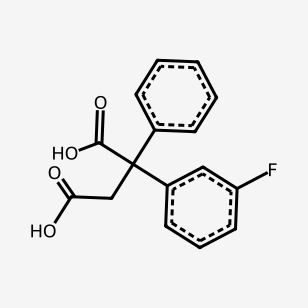 O=C(O)CC(C(=O)O)(c1ccccc1)c1cccc(F)c1